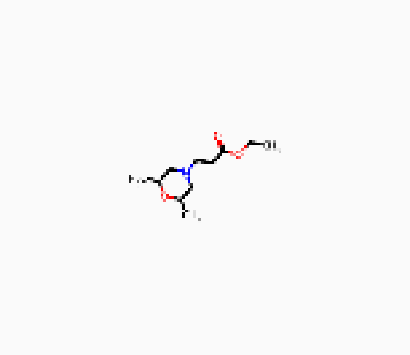 CCOC(=O)CCN1CC(C)OC(C)C1